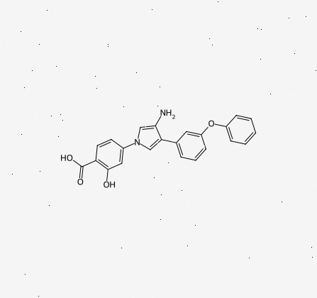 Nc1cn(-c2ccc(C(=O)O)c(O)c2)cc1-c1cccc(Oc2ccccc2)c1